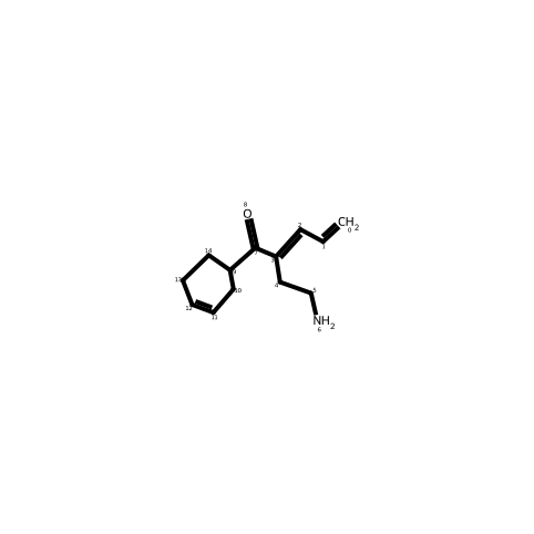 C=C/C=C(\CCN)C(=O)C1CC=CCC1